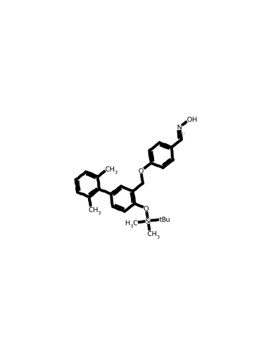 Cc1cccc(C)c1-c1ccc(O[Si](C)(C)C(C)(C)C)c(COc2ccc(/C=N/O)cc2)c1